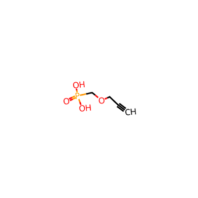 C#CCOCP(=O)(O)O